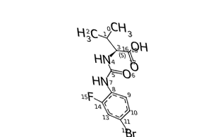 CC(C)[C@H](NC(=O)Nc1ccc(Br)cc1F)C(=O)O